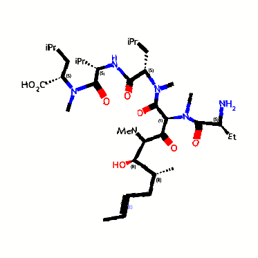 C/C=C/C[C@@H](C)[C@@H](O)C(NC)C(=O)[C@@H](C(=O)N(C)[C@@H](CC(C)C)C(=O)N[C@H](C(=O)N(C)[C@@H](CC(C)C)C(=O)O)C(C)C)N(C)C(=O)[C@@H](N)CC